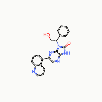 O=c1[nH]c2ncc(-c3cccc4ncccc34)nc2n1[C@H](CO)c1ccccc1